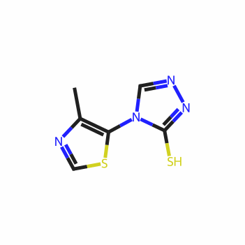 Cc1ncsc1-n1cnnc1S